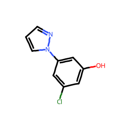 Oc1cc(Cl)cc(-n2cccn2)c1